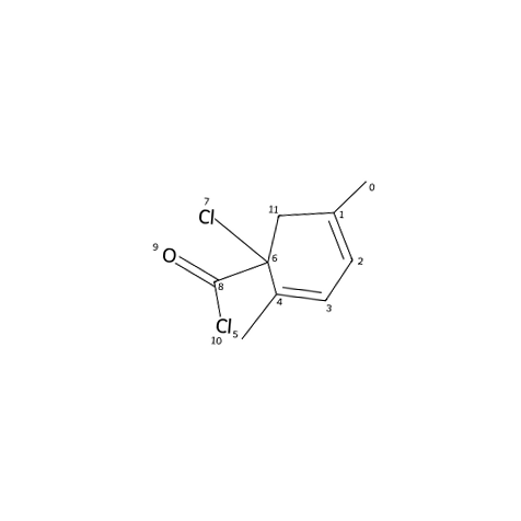 CC1=CC=C(C)C(Cl)(C(=O)Cl)C1